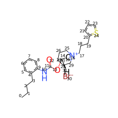 CCCCc1ccccc1NC(=O)O[C@H]1C[N+]2(CCCc3cccs3)CCC1CC2.[Br-]